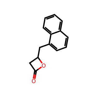 O=C1CC(Cc2cccc3ccccc23)O1